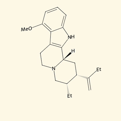 C=C(CC)[C@H]1C[C@H]2c3[nH]c4cccc(OC)c4c3CCN2C[C@H]1CC